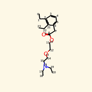 CCc1cccc(CC(=O)OCCOCCN(CC)CC)c1CC